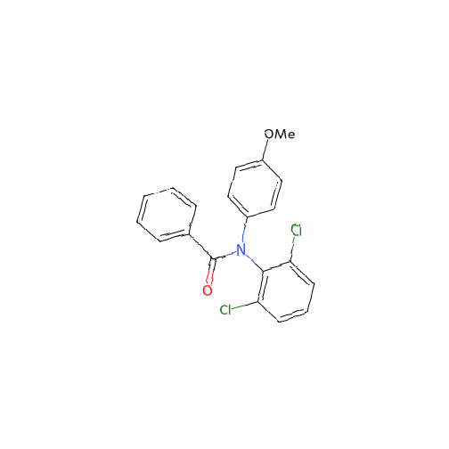 COc1ccc(N(C(=O)c2ccccc2)c2c(Cl)cccc2Cl)cc1